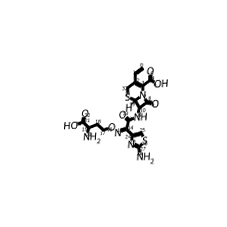 C=CC1=C(C(=O)O)N2C(=O)C(NC(=O)/C(=N\OCCC(N)C(=O)O)c3csc(N)n3)[C@H]2SC1